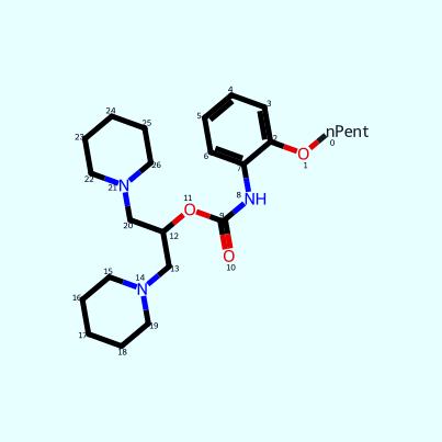 CCCCCOc1ccccc1NC(=O)OC(CN1CCCCC1)CN1CCCCC1